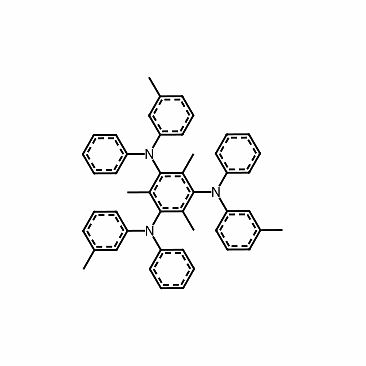 Cc1cccc(N(c2ccccc2)c2c(C)c(N(c3ccccc3)c3cccc(C)c3)c(C)c(N(c3ccccc3)c3cccc(C)c3)c2C)c1